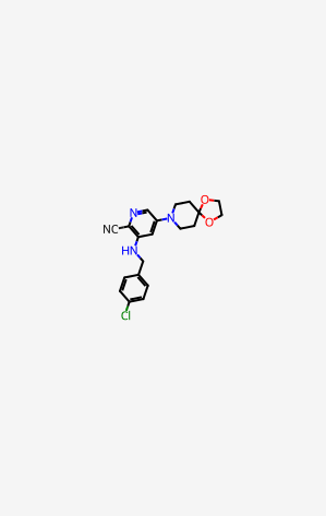 N#Cc1ncc(N2CCC3(CC2)OCCO3)cc1NCc1ccc(Cl)cc1